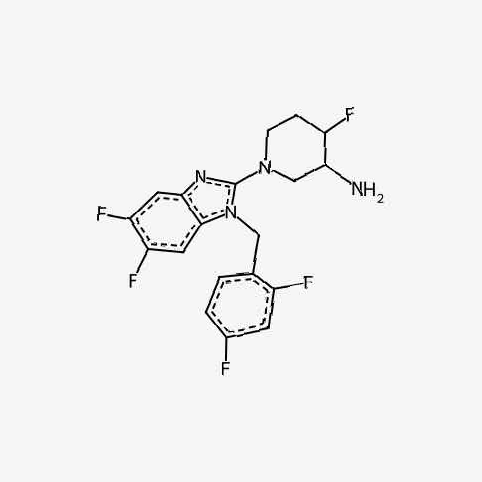 NC1CN(c2nc3cc(F)c(F)cc3n2Cc2ccc(F)cc2F)CCC1F